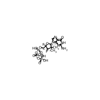 CC1(C)[C@H](n2cnc3c(=O)[nH]c(N)nc32)O[C@](F)(COP(=O)(O)OP(=O)(O)OP(=O)(O)O)[C@H]1F